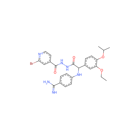 CCOc1cc(C(Nc2ccc(C(=N)N)cc2)C(=O)NNC(=O)c2ccnc(Br)c2)ccc1OC(C)C